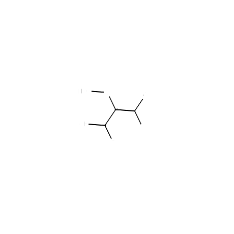 COC(C(C)C)C(F)F